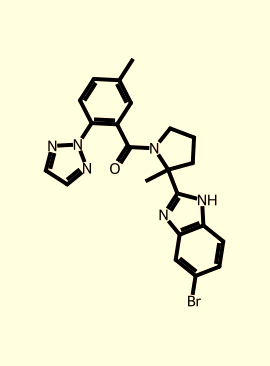 Cc1ccc(-n2nccn2)c(C(=O)N2CCCC2(C)c2nc3cc(Br)ccc3[nH]2)c1